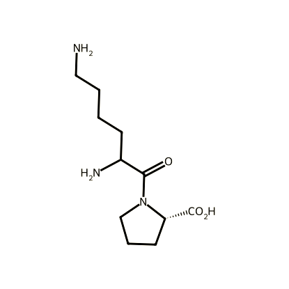 NCCCCC(N)C(=O)N1CCC[C@H]1C(=O)O